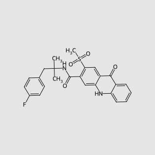 CC(C)(Cc1ccc(F)cc1)NC(=O)c1cc2[nH]c3ccccc3c(=O)c2cc1S(C)(=O)=O